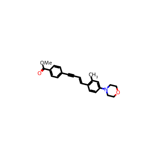 COC(=O)c1ccc(C#CC=Cc2ccc(N3CCOCC3)cc2C)cc1